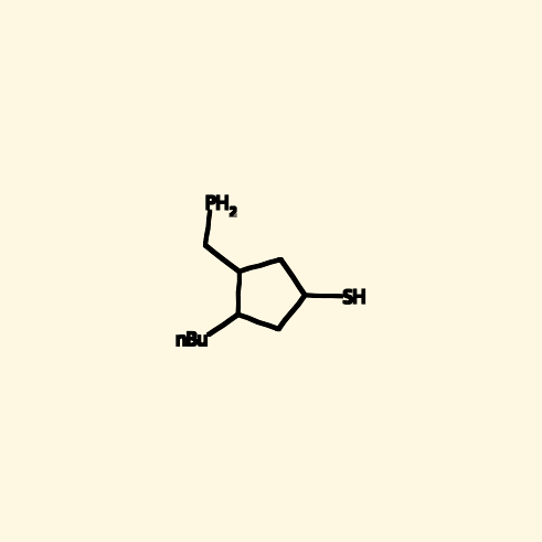 CCCCC1CC(S)CC1CP